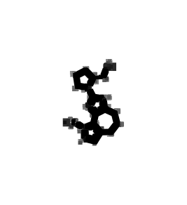 Cn1ncc2c1-c1sc(N3CCC[C@@H]3CO)nc1CCC2